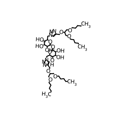 CCCCCOCC(COCCCCC)OCc1cn(CC2O[C@H](O[C@H]3OC(Cn4cc(COC(COCCCCC)COCCCCC)nn4)[C@@H](O)C(O)C3O)C(O)C(O)[C@@H]2O)nn1